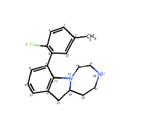 Cc1ccc(F)c(-c2cccc3c2N2CCNCCC2C3)c1